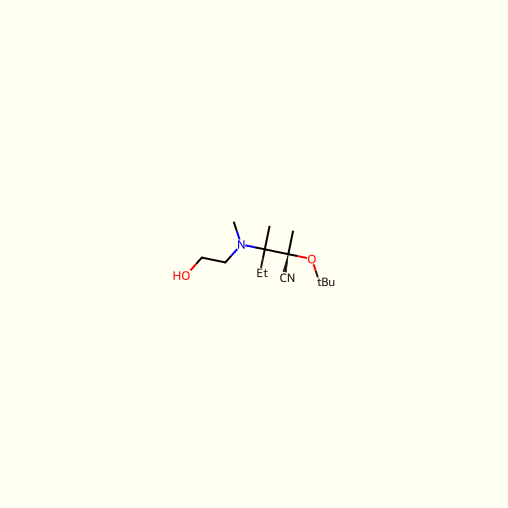 CCC(C)(N(C)CCO)[C@@](C)(C#N)OC(C)(C)C